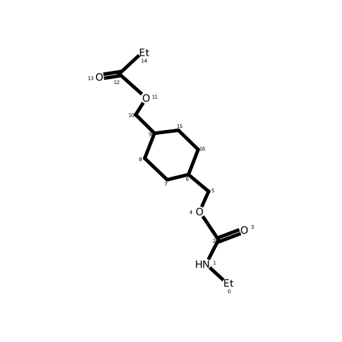 CCNC(=O)OCC1CCC(COC(=O)CC)CC1